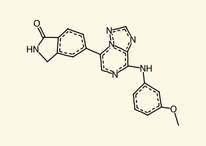 COc1cccc(Nc2ncc(-c3ccc4c(c3)CNC4=O)n3ncnc23)c1